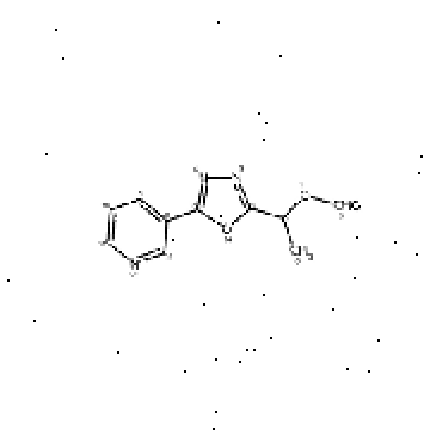 CC(OC=O)c1nnc(-c2cccnc2)o1